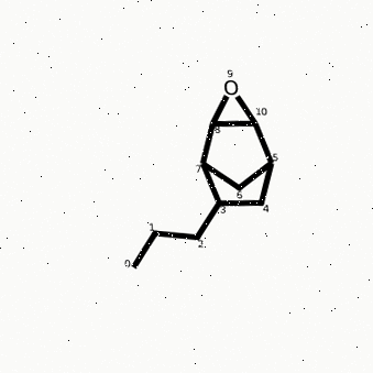 CCCC1CC2CC1C1OC21